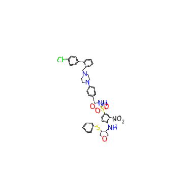 O=C(NS(=O)(=O)c1ccc(NC2COCC2Sc2ccccc2)c([N+](=O)[O-])c1)c1ccc(N2CCN(Cc3ccccc3-c3ccc(Cl)cc3)CC2)cc1